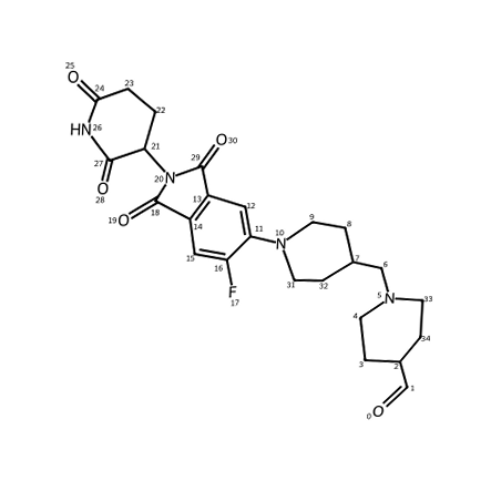 O=CC1CCN(CC2CCN(c3cc4c(cc3F)C(=O)N(C3CCC(=O)NC3=O)C4=O)CC2)CC1